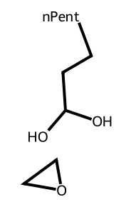 C1CO1.CCCCCCCC(O)O